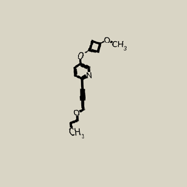 CCCOCC#Cc1ccc(O[C@H]2C[C@H](OC)C2)cn1